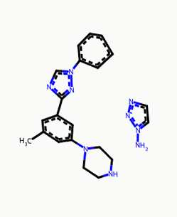 Cc1cc(-c2ncn(-c3ccccc3)n2)cc(N2CCNCC2)c1.Nn1ccnn1